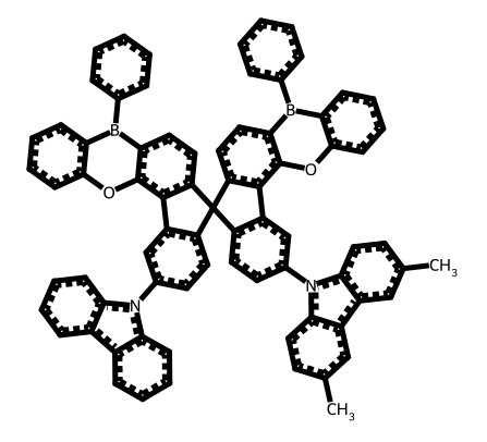 Cc1ccc2c(c1)c1cc(C)ccc1n2-c1ccc2c(c1)-c1c(ccc3c1Oc1ccccc1B3c1ccccc1)C21c2ccc(-n3c4ccccc4c4ccccc43)cc2-c2c1ccc1c2Oc2ccccc2B1c1ccccc1